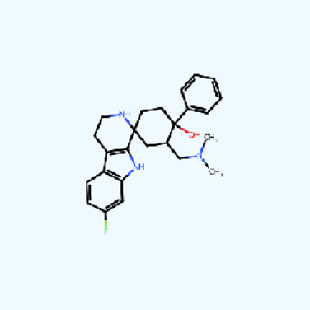 CN(C)CC1CC2(CCC1(O)c1ccccc1)NCCc1c2[nH]c2cc(F)ccc12